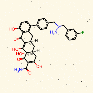 NC(=O)C1=C(O)C[C@@H]2C[C@@H]3Cc4c(-c5ccc(CN(N)Cc6cccc(F)c6)cc5)ccc(O)c4C(=O)C3=C(O)[C@]2(O)C1=O